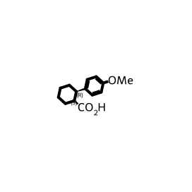 COc1ccc([C@@H]2CCCC[C@@H]2C(=O)O)cc1